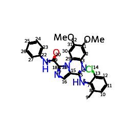 COc1cc2nc(Nc3c(C)cccc3Cl)c3cnc(C(=O)Nc4ccccc4)n3c2cc1OC